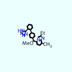 CCc1cn2c([C@H](OC)c3ccc(-c4ccccc4-c4nnn[nH]4)cc3)ccc(C)c2n1